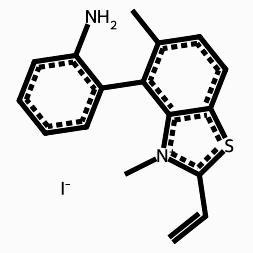 C=Cc1sc2ccc(C)c(-c3ccccc3N)c2[n+]1C.[I-]